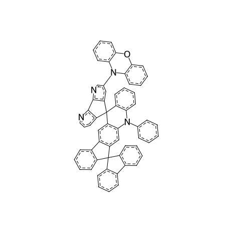 c1ccc(N2c3ccccc3C3(c4cc5c(cc42)C2(c4ccccc4-c4ccccc42)c2ccccc2-5)c2cccnc2-c2ncc(N4c5ccccc5Oc5ccccc54)cc23)cc1